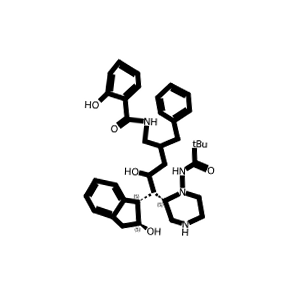 CC(C)(C)C(=O)NN1CCNC[C@@H]1C(C(O)CC(CNC(=O)c1ccccc1O)Cc1ccccc1)[C@H]1c2ccccc2C[C@@H]1O